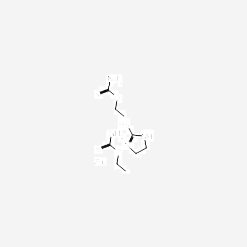 CCOC(N)=S.CCOC(N)=S.SC1=NCCN1.[Zn]